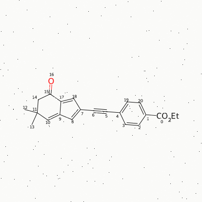 CCOC(=O)c1ccc(C#CC2=CC3=CC(C)(C)CC(=O)C3=C2)cc1